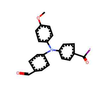 COc1ccc(N(c2ccc(C=O)cc2)c2ccc(C(=O)I)cc2)cc1